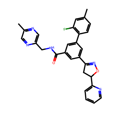 Cc1ccc(-c2cc(C(=O)NCc3cnc(C)cn3)cc(C3=NOC(c4ccccn4)C3)c2)c(F)c1